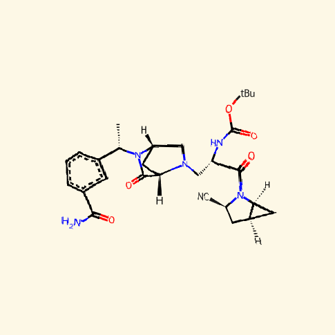 C[C@@H](c1cccc(C(N)=O)c1)N1C(=O)[C@@H]2C[C@H]1CN2C[C@H](NC(=O)OC(C)(C)C)C(=O)N1[C@H](C#N)C[C@@H]2C[C@@H]21